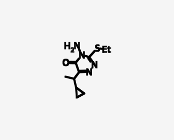 CCSc1nnc(C(C)C2CC2)c(=O)n1N